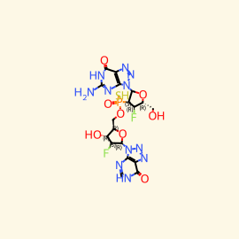 Nc1nc2c(nnn2C2O[C@H](CO)[C@@H](F)[C@H]2P(=O)(S)OC[C@H]2O[C@@H](n3nnc4c(=O)[nH]cnc43)[C@@H](F)[C@@H]2O)c(=O)[nH]1